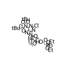 CCOP(=O)(CC(=O)OC[C@H]1O[C@@H](n2cnc3c(N(C(=O)OC(C)(C)C)C(=O)OC(C)(C)C)nc(Cl)nc32)[C@H]2OC(C)(C)O[C@H]21)OCC